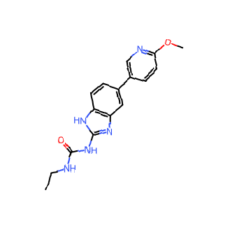 CCNC(=O)Nc1nc2cc(-c3ccc(OC)nc3)ccc2[nH]1